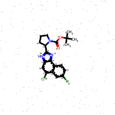 CC(C)(C)OC(=O)N1CCCC1c1nc2c(cc(Cl)c3cc(Br)ccc32)[nH]1